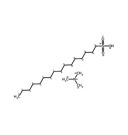 CCCCCCCCCCCCCCCCS(=O)(=O)O.CN(C)C